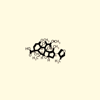 COC(=O)C(C)C1[C@@]2(C)C(=O)C=C[C@@](C)(C(=O)O)C2[C@@H](C)[C@H]2O[C@@H]3C[C@@H](c4cocc4C)C(C)=C3[C@@]12C